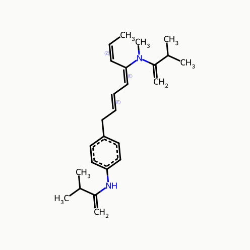 C=C(Nc1ccc(C/C=C/C=C(\C=C/C)N(C)C(=C)C(C)C)cc1)C(C)C